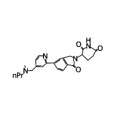 CCCN(C)Cc1ccnc(-c2ccc3c(c2)CN(C2CCC(=O)NC2=O)C3=O)c1